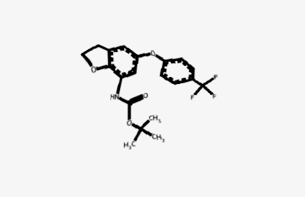 CC(C)(C)OC(=O)Nc1cc(Oc2ccc(C(F)(F)F)cc2)cc2c1OCC2